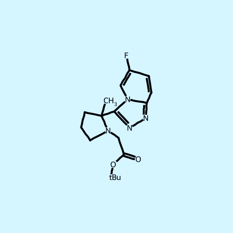 CC(C)(C)OC(=O)CN1CCCC1(C)c1nnc2ccc(F)cn12